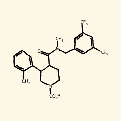 Cc1ccccc1C1CN(C(=O)O)CCC1C(=O)N(C)Cc1cc(C(F)(F)F)cc(C(F)(F)F)c1